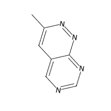 Cc1cc2cncnc2nn1